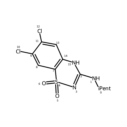 CCCC(C)NC1=NS(=O)(=O)c2cc(Cl)c(Cl)cc2N1